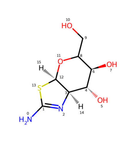 NC1=N[C@@H]2[C@@H](O)[C@H](O)C(CO)O[C@@H]2S1